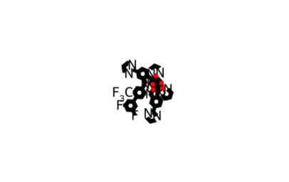 Fc1cc(F)cc(-c2cc(-n3c4cc(-c5ncccn5)ccc4c4ccc(-c5ncccn5)cc43)c(-n3c4cc(-c5ncccn5)ccc4c4ccc(-c5ncccn5)cc43)cc2C(F)(F)F)c1